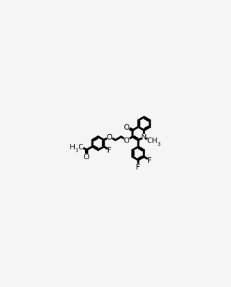 CC(=O)c1ccc(OCCOc2c(-c3ccc(F)c(F)c3)n(C)c3ccccc3c2=O)c(F)c1